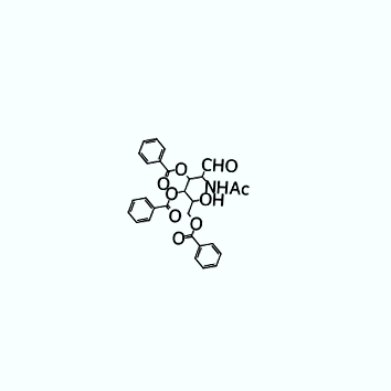 CC(=O)NC(C=O)C(OC(=O)c1ccccc1)C(OC(=O)c1ccccc1)C(O)COC(=O)c1ccccc1